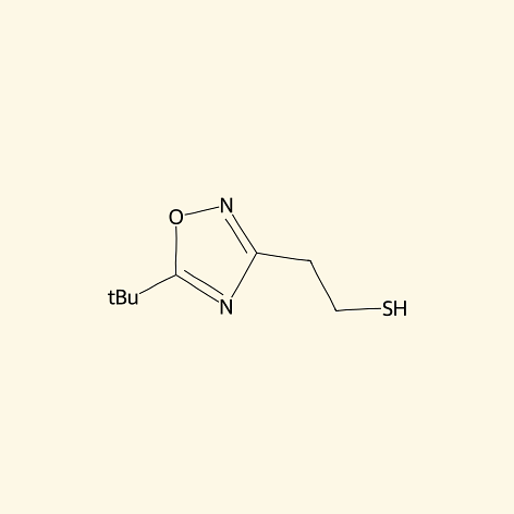 CC(C)(C)c1nc(CCS)no1